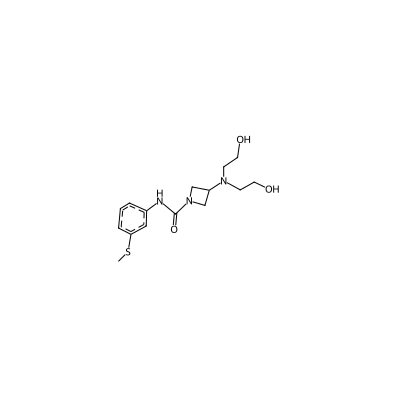 CSc1cccc(NC(=O)N2CC(N(CCO)CCO)C2)c1